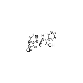 O=C(NC(CO)c1cccnc1)c1nccc2sc(Cl)cc12